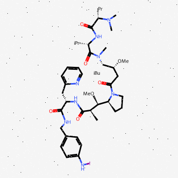 CC[C@H](C)[C@@H]([C@@H](CC(=O)N1CCC[C@H]1[C@H](OC)[C@@H](C)C(=O)N[C@@H](Cc1ccccn1)C(=O)NCc1ccc(NI)cc1)OC)N(C)C(=O)[C@@H](NC(=O)[C@H](C(C)C)N(C)C)C(C)C